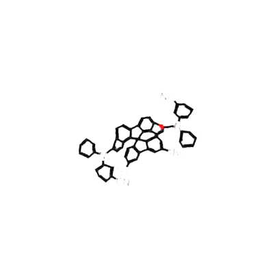 CC(C)(C)c1ccc2c(c1)-c1cc(C(C)(C)C)ccc1C21c2c(ccc3cc(N(c4ccccc4)c4cccc(C#N)c4)ccc23)-c2ccc3cc(N(c4ccccc4)c4cccc(C#N)c4)ccc3c21